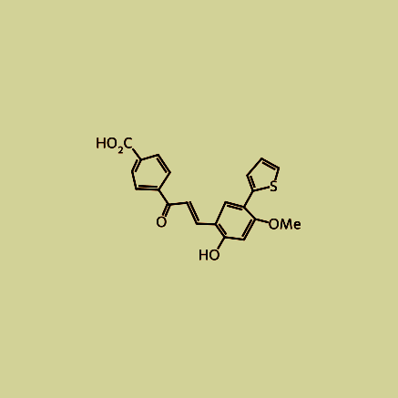 COc1cc(O)c(C=CC(=O)c2ccc(C(=O)O)cc2)cc1-c1cccs1